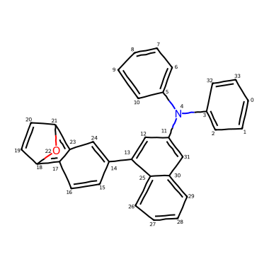 c1ccc(N(c2ccccc2)c2cc(-c3ccc4c5ccc(o5)c4c3)c3ccccc3c2)cc1